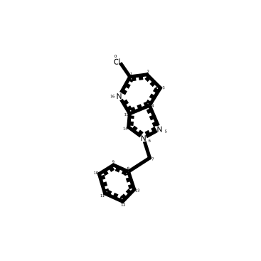 Clc1ccc2nn(Cc3ccccc3)cc2n1